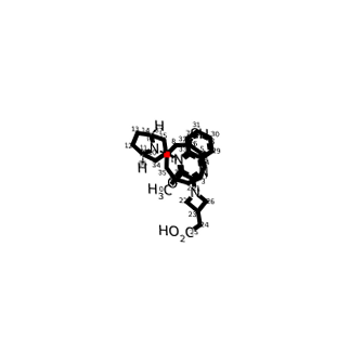 CC1CCCC[C@H](C)C[C@@H](N2[C@@H]3CC[C@H]2C[C@@H](n2c(=O)c(N4CC(CC(=O)O)C4)nc4ccccc42)C3)C1